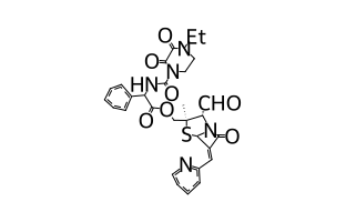 CCN1CCN(C(=O)NC(C(=O)OC[C@]2(C)SC3/C(=C\c4ccccn4)C(=O)N3[C@H]2C=O)c2ccccc2)C(=O)C1=O